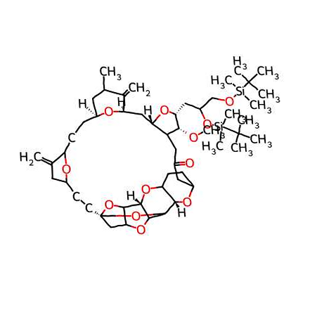 C=C1CC2CC[C@@]34CC5OC6C(O3)[C@H]3OC(CCC3O[C@H]6C5O4)CC(=O)CC3[C@H](C[C@H]4O[C@@H](CCC1O2)CC(C)C4=C)O[C@H](CC(CO[Si](C)(C)C(C)(C)C)O[Si](C)(C)C(C)(C)C)[C@@H]3OC